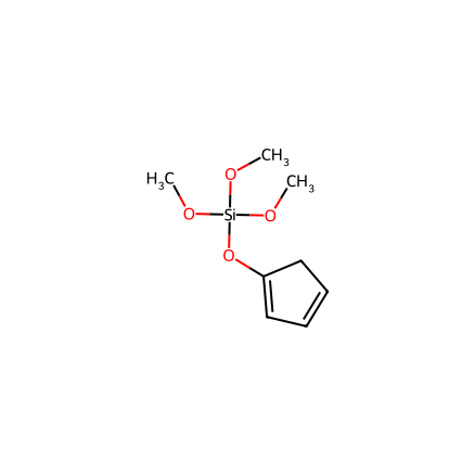 CO[Si](OC)(OC)OC1=CC=CC1